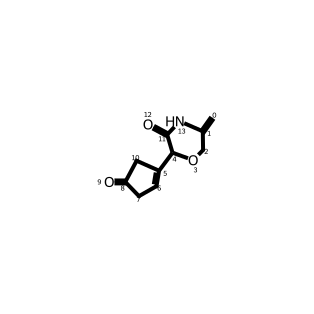 C=C1COC(C2=CCC(=O)C2)C(=O)N1